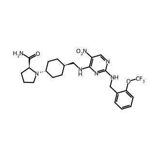 NC(=O)[C@@H]1CCCN1[C@H]1CC[C@H](CNc2nc(NCc3ccccc3OC(F)(F)F)ncc2[N+](=O)[O-])CC1